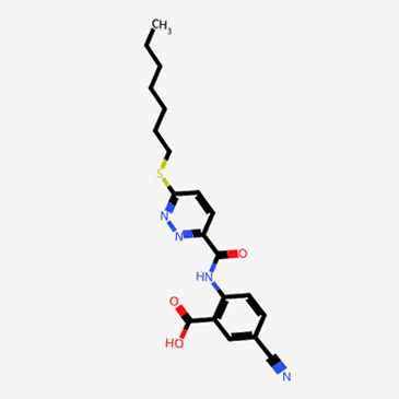 CCCCCCCSc1ccc(C(=O)Nc2ccc(C#N)cc2C(=O)O)nn1